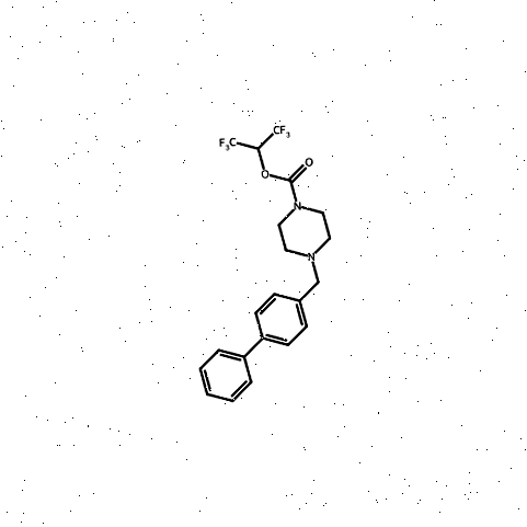 O=C(OC(C(F)(F)F)C(F)(F)F)N1CCN(Cc2ccc(-c3ccccc3)cc2)CC1